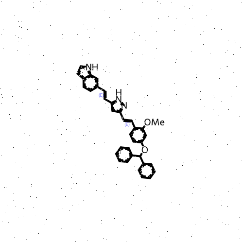 COc1cc(OC(c2ccccc2)c2ccccc2)ccc1/C=C/c1cc(/C=C/c2ccc3cc[nH]c3c2)[nH]n1